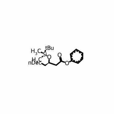 CCCCCCCCCCC[C@H](CC(=O)Oc1ccccc1)O[Si](C)(C)C(C)(C)C